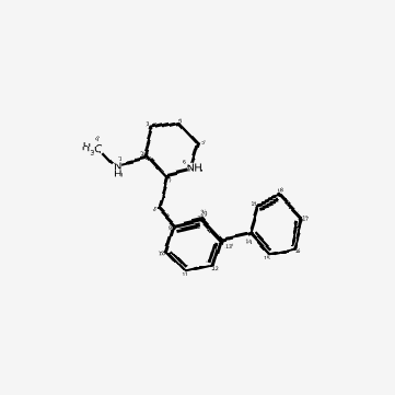 CNC1CCCNC1Cc1cccc(-c2ccccc2)c1